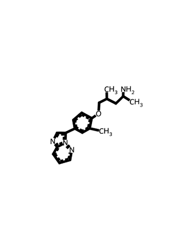 Cc1cc(-c2cnc3cccnn23)ccc1OCC(C)CC(C)N